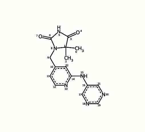 CC1(C)C(=O)NC(=O)N1Cc1ccnc(Nc2cncnc2)c1